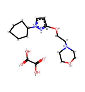 O=C(O)C(=O)O.c1cn(C2CCCCC2)nc1OCCN1CCOCC1